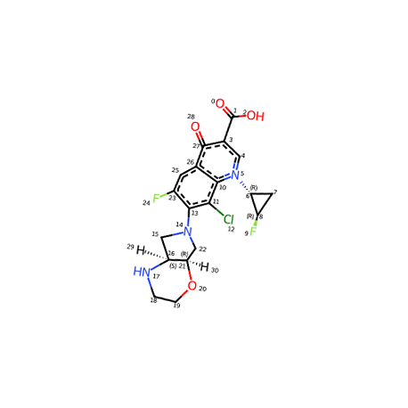 O=C(O)c1cn([C@@H]2C[C@H]2F)c2c(Cl)c(N3C[C@@H]4NCCO[C@@H]4C3)c(F)cc2c1=O